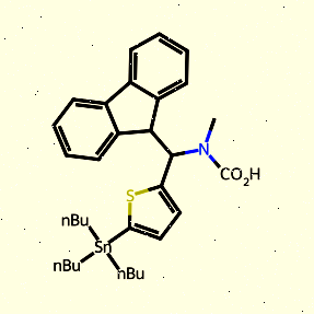 CCC[CH2][Sn]([CH2]CCC)([CH2]CCC)[c]1ccc(C(C2c3ccccc3-c3ccccc32)N(C)C(=O)O)s1